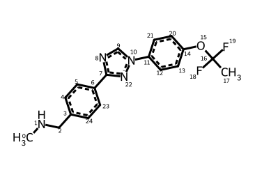 CNCc1ccc(-c2ncn(-c3ccc(OC(C)(F)F)cc3)n2)cc1